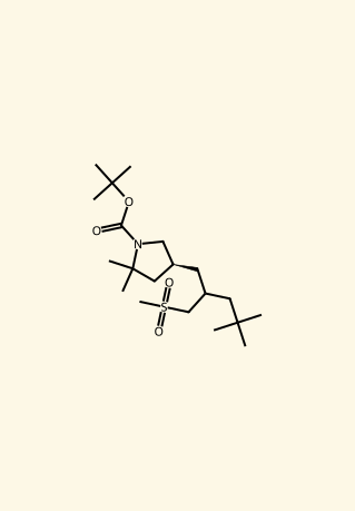 CC(C)(C)CC(C[C@@H]1CN(C(=O)OC(C)(C)C)C(C)(C)C1)CS(C)(=O)=O